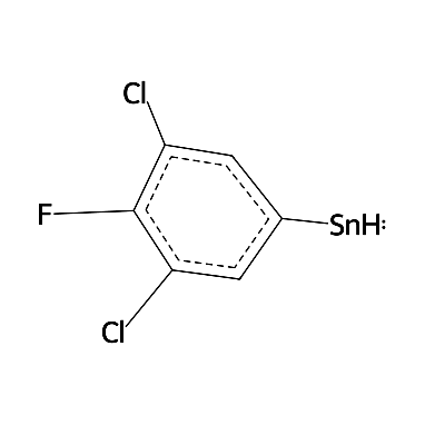 Fc1c(Cl)c[c]([SnH])cc1Cl